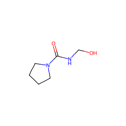 O=C(NCO)N1CCCC1